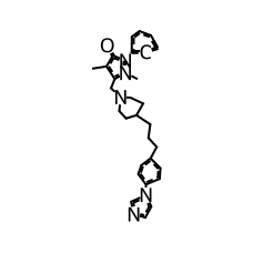 Cc1c(CN2CCC(CCCc3ccc(-n4ccnc4)cc3)CC2)n(C)n(-c2ccccc2)c1=O